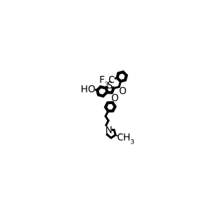 C[C@H]1CCN(CCCc2ccc(Oc3c(C(=O)c4ccccc4C(F)(F)F)sc4cc(O)ccc34)cc2)C1